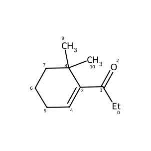 CCC(=O)C1=CCCCC1(C)C